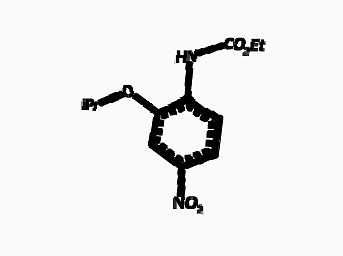 CCOC(=O)Nc1ccc([N+](=O)[O-])cc1OC(C)C